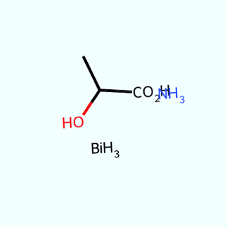 CC(O)C(=O)O.N.[BiH3]